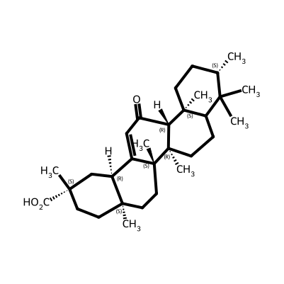 C[C@H]1CC[C@@]2(C)C(CC[C@]3(C)[C@@H]2C(=O)C=C2[C@@H]4C[C@@](C)(C(=O)O)CC[C@]4(C)CC[C@]23C)C1(C)C